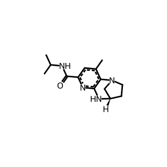 Cc1cc(C(=O)NC(C)C)nc2c1N1CC[C@@H](C1)N2